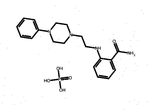 NC(=O)c1ccccc1NCCN1CCN(c2ccccc2)CC1.O=P(O)(O)O